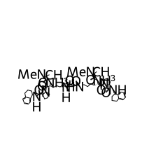 CN[C@@H](C)C(=O)N[C@@H](CCCCNC(=O)CC(=O)NCCCC[C@H](NC(=O)[C@@H](C)NC)C(=O)N1CCC[C@H]1C(=O)N[C@@H]1CCCc2ccccc21)C(=O)N1CCC[C@H]1C(=O)N[C@@H]1CCCc2ccccc21